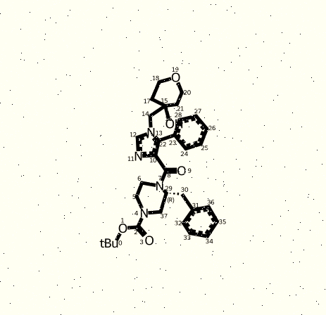 CC(C)(C)OC(=O)N1CCN(C(=O)c2ncn(CC3(O)CCOCC3)c2-c2ccccc2)[C@H](Cc2ccccc2)C1